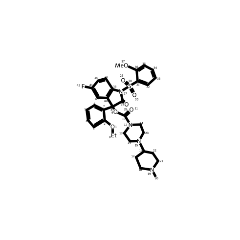 CCOc1ccccc1C1(OC(=O)N2CCN(C3CCN(C)CC3)CC2)C(=O)N(S(=O)(=O)c2ccccc2OC)c2ccc(F)cc21